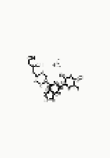 Cl.Cl.OCC(O)CN1CCN(c2nc(-c3cc(F)c(Cl)cc3F)nc3ccsc23)CC1